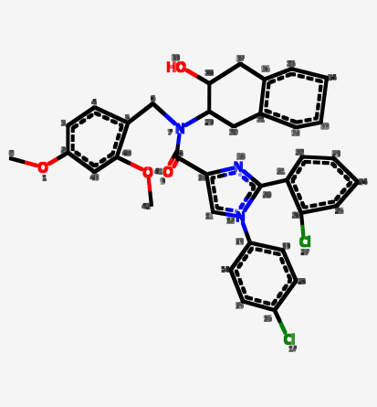 COc1ccc(CN(C(=O)c2cn(-c3ccc(Cl)cc3)c(-c3ccccc3Cl)n2)C2Cc3ccccc3CC2O)c(OC)c1